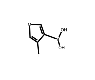 OB(O)c1cocc1I